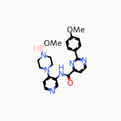 COBN1CCN(c2ccncc2NC(=O)c2ccnc(-c3ccc(OC)cc3)n2)CC1